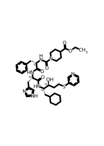 CCOC(=O)C1CCN(C(=O)N[C@@H](Cc2ccccc2)C(=O)N[C@@H](Cc2c[nH]cn2)C(=O)N[C@@H](CC2CCCCC2)[C@@H](O)CCSc2cccnc2)CC1